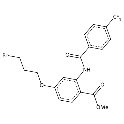 COC(=O)c1ccc(OCCCBr)cc1NC(=O)c1ccc(C(F)(F)F)cc1